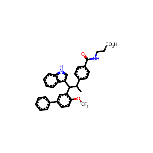 CC(c1ccc(C(=O)NCCC(=O)O)cc1)C(c1cc(-c2ccccc2)ccc1OC(F)(F)F)c1c[nH]c2ccccc12